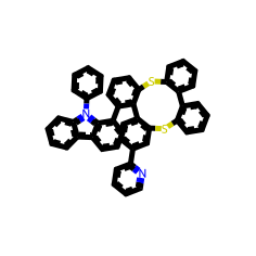 c1ccc(-n2c3ccccc3c3cccc(-c4cccc5c4-c4ccc(-c6ccccn6)cc4Sc4ccccc4-c4ccccc4S5)c32)cc1